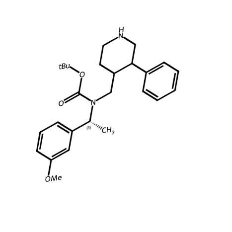 COc1cccc([C@@H](C)N(CC2CCNCC2c2ccccc2)C(=O)OC(C)(C)C)c1